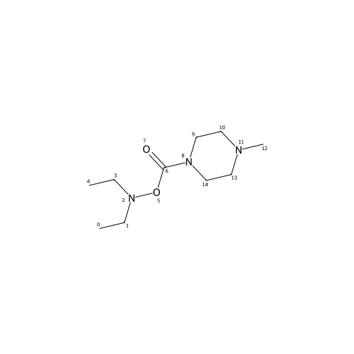 CCN(CC)OC(=O)N1CCN(C)CC1